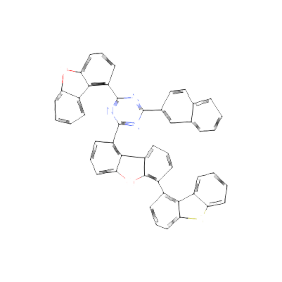 c1ccc2cc(-c3nc(-c4cccc5oc6ccccc6c45)nc(-c4cccc5oc6c(-c7cccc8sc9ccccc9c78)cccc6c45)n3)ccc2c1